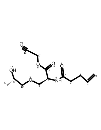 C=CCCC(=O)N[C@@H](COC[C@H](C)O)C(=O)OCC#N